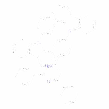 c1ccc(-c2cc(-c3ccc(-n4c5ccccc5c5ccccc54)c(-c4ccccc4-n4c5ccccc5c5ccccc54)c3)nc(-c3ccccc3)n2)cc1